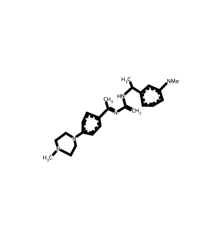 C=C(/N=C(\C)c1ccc(N2CCN(C)CC2)cc1)NC(C)c1cccc(NC)c1